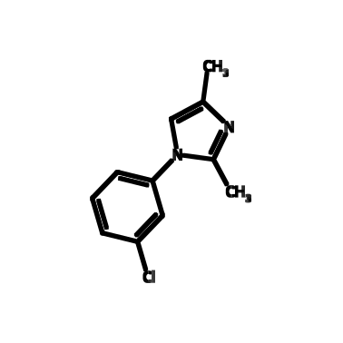 Cc1cn(-c2cccc(Cl)c2)c(C)n1